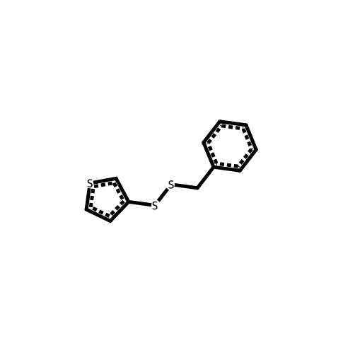 c1ccc(CSSc2ccsc2)cc1